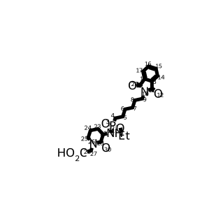 CCOP(=O)(CCCCCCN1C(=O)c2ccccc2C1=O)NC1CCCN(CC(=O)O)C1=O